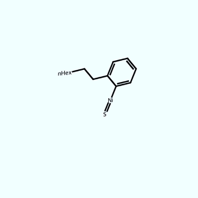 CCCCCCCCc1cccc[c]1[Ni]=[S]